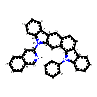 c1ccc(-n2c3ccccc3c3ccc4cc5c6ccccc6n(-c6cc7ccccc7cn6)c5cc4c32)cc1